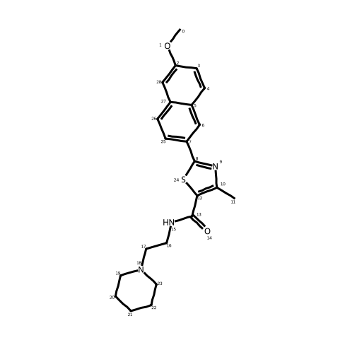 COc1ccc2cc(-c3nc(C)c(C(=O)NCCN4CCCCC4)s3)ccc2c1